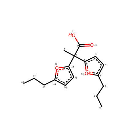 CCCc1ccc(C(C)(C(=O)O)c2ccc(CCC)o2)o1